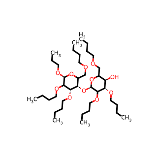 CCCCOCC1O[C@H](O[C@H]2C(COCCCC)O[C@H](OCCC)C(OCCCC)[C@H]2OCCCC)C(OCCCC)[C@@H](OCCCC)[C@@H]1O